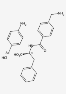 CC(=O)c1ccc(N)cc1.Cl.NCc1ccc(C(=O)N[C@@H](Cc2ccccc2)C(=O)O)cc1